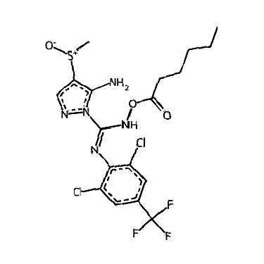 CCCCCC(=O)ONC(=Nc1c(Cl)cc(C(F)(F)F)cc1Cl)n1ncc([S+](C)[O-])c1N